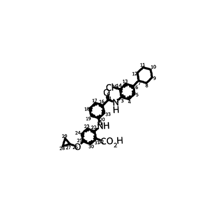 O=C(Nc1ccc(C2CCCCC2)cc1Cl)c1cccc(Nc2ccc(OC3CC3)cc2C(=O)O)c1